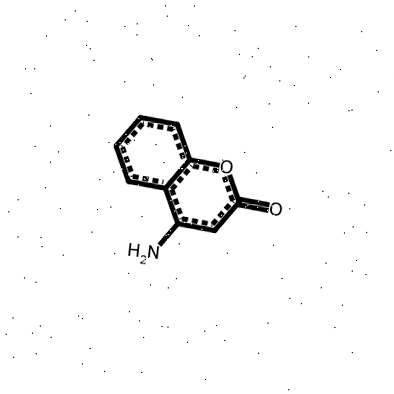 Nc1cc(=O)oc2ccccc12